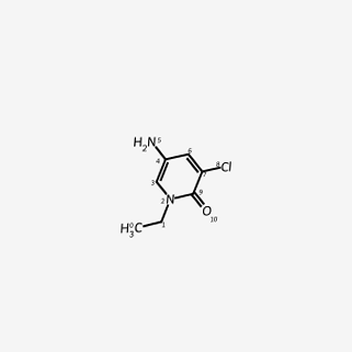 CCn1cc(N)cc(Cl)c1=O